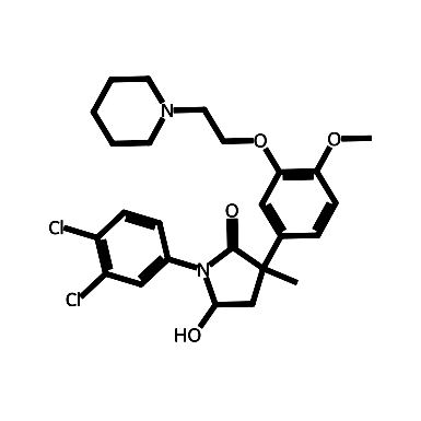 COc1ccc(C2(C)CC(O)N(c3ccc(Cl)c(Cl)c3)C2=O)cc1OCCN1CCCCC1